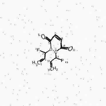 C=CC(F)OC(=O)/C=C\C(=O)OC(F)C=C